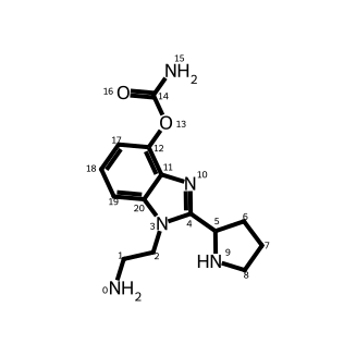 NCCn1c(C2CCCN2)nc2c(OC(N)=O)cccc21